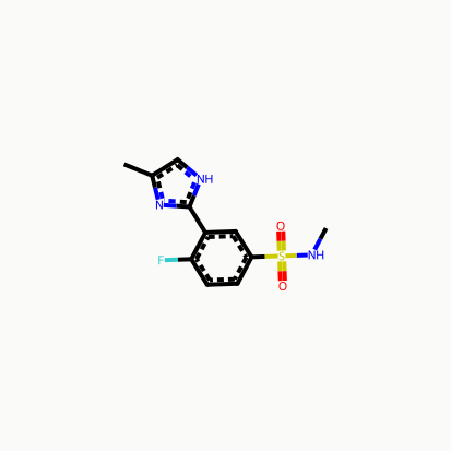 CNS(=O)(=O)c1ccc(F)c(-c2nc(C)c[nH]2)c1